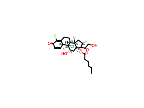 CCCCCC(=O)O[C@]1(C(=O)CO)[C@@H](C)C[C@H]2[C@@H]3CCC4=C(F)C(=O)C=C[C@]4(C)[C@@]3(Cl)[C@@H](O)C[C@@]21C